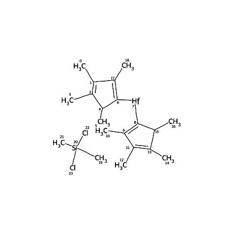 CC1=C(C)C(C)[C]([Hf][C]2=C(C)C(C)=C(C)C2C)=C1C.C[Si](C)(Cl)Cl